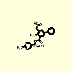 Cc1ncc([C@@H](CO)NC(=O)c2cc(-c3ccccc3)cc(C[SH](=O)=O)c2C)cn1